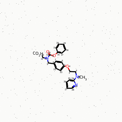 CN(CCOc1ccc(CN(CC(=O)O)C(=O)Oc2ccccc2)cc1)c1ccccn1